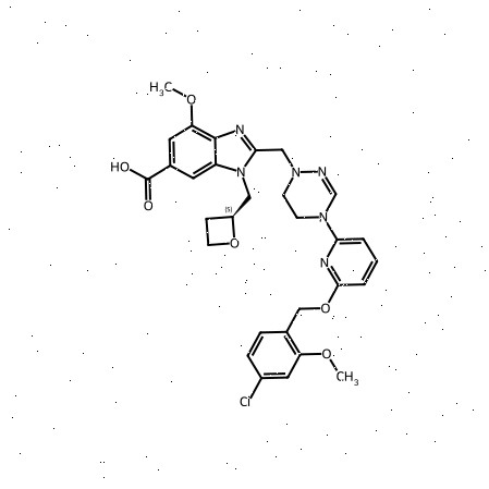 COc1cc(Cl)ccc1COc1cccc(N2C=NN(Cc3nc4c(OC)cc(C(=O)O)cc4n3C[C@@H]3CCO3)CC2)n1